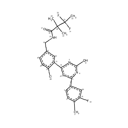 Cc1ccc(-c2nc(O)nc(-c3cc(CNC(=O)C(C)(C)C(C)(F)F)ccc3Cl)n2)cc1F